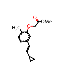 COC(=O)COc1cc(/C=C/C2CC2)ccc1C